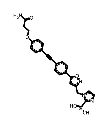 C[C@H](O)c1nccn1Cc1cc(-c2ccc(C#Cc3ccc(OCCC(N)=O)cc3)cc2)on1